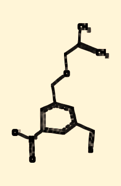 C=C(C)COCc1cc(C=S)cc([N+](=O)[O-])c1